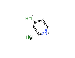 Cl.Cl.[Fe].c1ccncc1